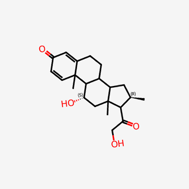 C[C@@H]1CC2C3CCC4=CC(=O)C=CC4(C)C3[C@@H](O)CC2(C)C1C(=O)CO